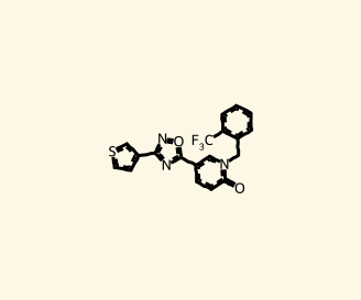 O=c1ccc(-c2nc(-c3ccsc3)no2)cn1Cc1ccccc1C(F)(F)F